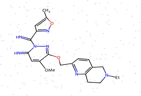 CCN1CCc2nc(COc3nn(C(=N)c4cc(C)on4)c(=N)cc3OC)ccc2C1